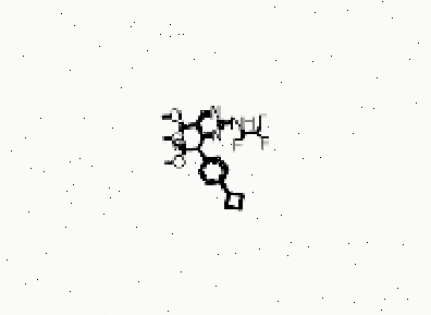 COC(=O)C(c1ccc(C2CCC2)cc1)c1nc(NC(F)C(F)F)ncc1C(OC)OC